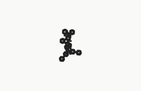 CC1CC=CC=C1N(c1ccccc1)c1ccc2c(c1)c1ccccc1c1c3ccc(N(c4ccc(-c5ccccc5)cc4)c4ccc(-c5ccccc5)cc4)cc3sc21